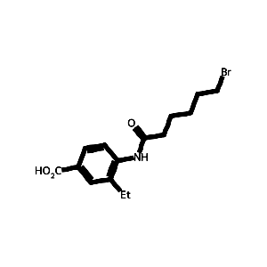 CCc1cc(C(=O)O)ccc1NC(=O)CCCCCBr